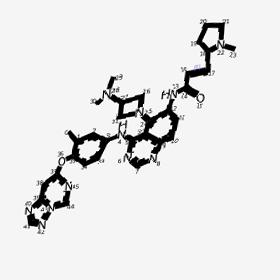 Cc1cc(Nc2ncnc3ccc(NC(=O)/C=C/C4CCCN4C)c(N4CC(N(C)C)C4)c23)ccc1Oc1cc2ncnn2cn1